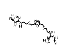 CN=C(NC#N)NCCSCc1cnc(CSCCNC(=NC)NC#N)o1